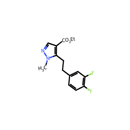 CCOC(=O)c1cnn(C)c1CCc1ccc(F)c(F)c1